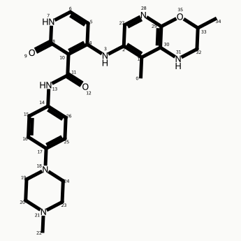 Cc1c(Nc2cc[nH]c(=O)c2C(=O)Nc2ccc(N3CCN(C)CC3)cc2)cnc2c1NCC(C)O2